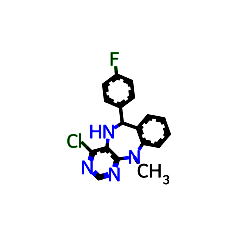 CN1c2ccccc2C(c2ccc(F)cc2)Nc2c(Cl)ncnc21